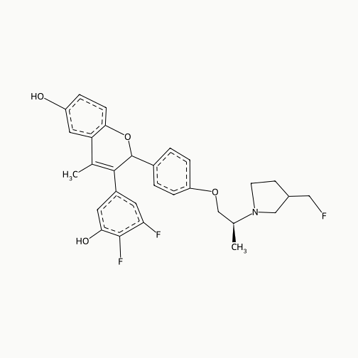 CC1=C(c2cc(O)c(F)c(F)c2)C(c2ccc(OC[C@H](C)N3CCC(CF)C3)cc2)Oc2ccc(O)cc21